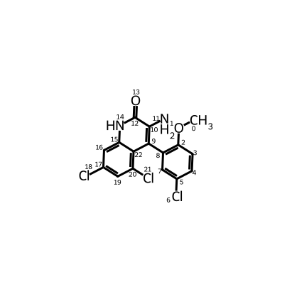 COc1ccc(Cl)cc1-c1c(N)c(=O)[nH]c2cc(Cl)cc(Cl)c12